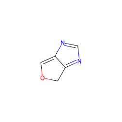 C1=NC2=COCC2=N1